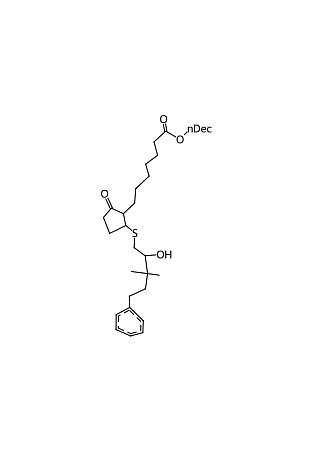 CCCCCCCCCCOC(=O)CCCCCCC1C(=O)CCC1SCC(O)C(C)(C)CCc1ccccc1